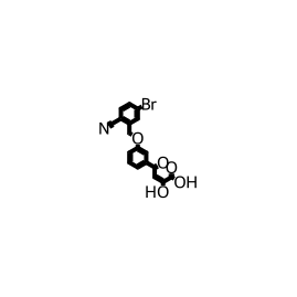 N#Cc1ccc(Br)cc1COc1cccc(C(=O)/C=C(/O)C(=O)O)c1